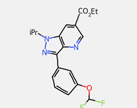 CCOC(=O)c1cnc2c(-c3cccc(OC(F)F)c3)nn(C(C)C)c2c1